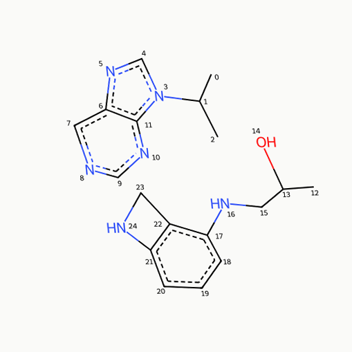 CC(C)n1cnc2cncnc21.CC(O)CNc1cccc2c1CN2